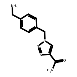 NCc1ccc(Cn2cc(C(N)=O)nn2)cc1